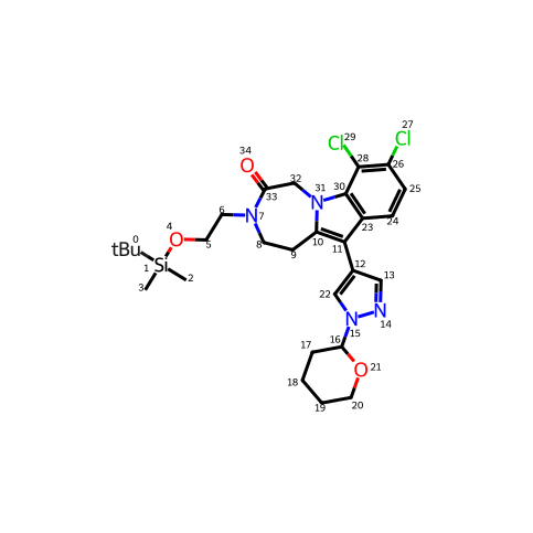 CC(C)(C)[Si](C)(C)OCCN1CCc2c(-c3cnn(C4CCCCO4)c3)c3ccc(Cl)c(Cl)c3n2CC1=O